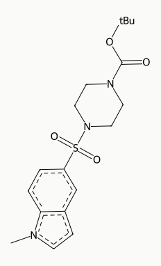 Cn1ccc2cc(S(=O)(=O)N3CCN(C(=O)OC(C)(C)C)CC3)ccc21